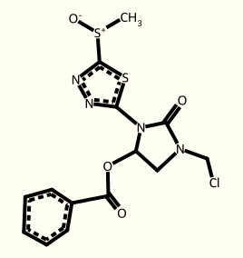 C[S+]([O-])c1nnc(N2C(=O)N(CCl)CC2OC(=O)c2ccccc2)s1